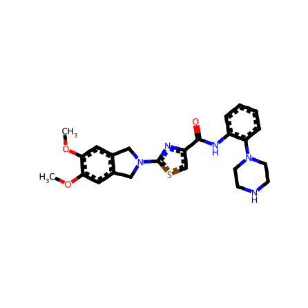 COc1cc2c(cc1OC)CN(c1nc(C(=O)Nc3ccccc3N3CCNCC3)cs1)C2